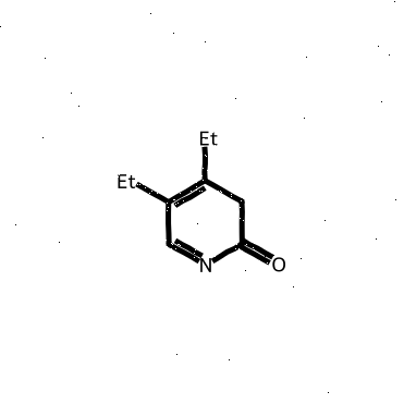 CCC1=C(CC)CC(=O)N=C1